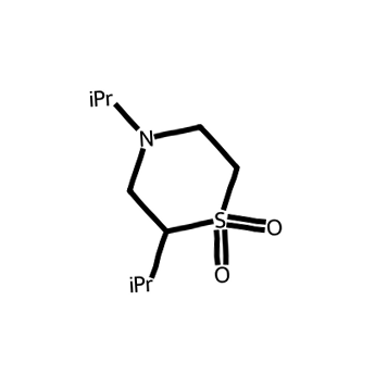 CC(C)C1CN(C(C)C)CCS1(=O)=O